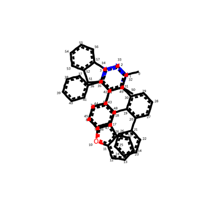 Cc1cc2c(c(-c3ccc4oc5ccccc5c4c3-c3c(-c4ccccc4)cccc3-c3nnnc(-c4ccccc4)c3-c3ccccc3)c1C)Cc1ccccc1-2